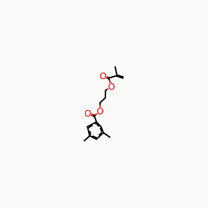 C=C(C)C(=O)OCCCOC(=O)c1cc(C)cc(C)c1